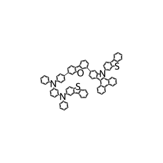 c1ccc(N(c2ccc(-c3ccc4c(c3)oc3c(-c5ccc6c7c8ccccc8c8ccccc8c7n(-c7ccc8c(c7)sc7ccccc78)c6c5)cccc34)cc2)c2cccc(N(c3ccccc3)c3ccc4sc5ccccc5c4c3)c2)cc1